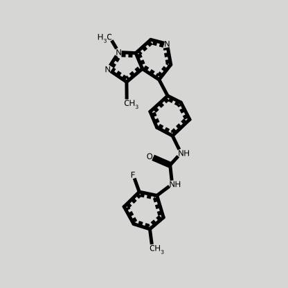 Cc1ccc(F)c(NC(=O)Nc2ccc(-c3cncc4c3c(C)nn4C)cc2)c1